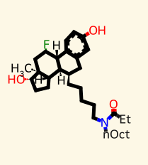 CCCCCCCCN(CCCCC[C@@H]1Cc2cc(O)ccc2[C@@H]2[C@@H]1[C@@H]1CC[C@H](O)[C@@]1(C)C[C@@H]2F)C(=O)CC